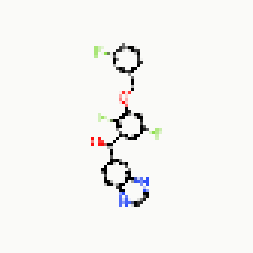 O=C(c1ccc2nccnc2c1)c1cc(F)cc(OCc2cccc(F)c2)c1F